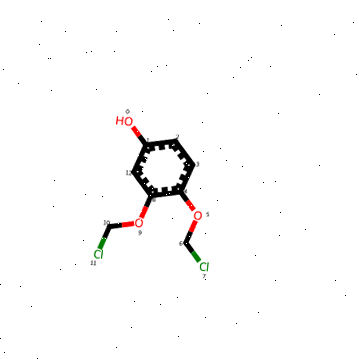 Oc1ccc(OCCl)c(OCCl)c1